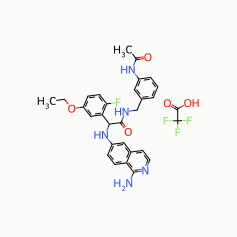 CCOc1ccc(F)c(C(Nc2ccc3c(N)nccc3c2)C(=O)NCc2cccc(NC(C)=O)c2)c1.O=C(O)C(F)(F)F